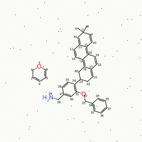 C1=CCOC=C1.CC1(C)C=Cc2c(ccc3c4c(ccc23)=CCC(c2ccc(CN)cc2OCc2ccccc2)C4)=C1